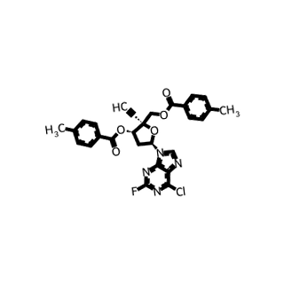 C#C[C@]1(COC(=O)c2ccc(C)cc2)O[C@@H](n2cnc3c(Cl)nc(F)nc32)C[C@@H]1OC(=O)c1ccc(C)cc1